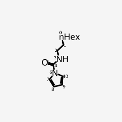 CCCCCCCCNC(=O)n1cccc1